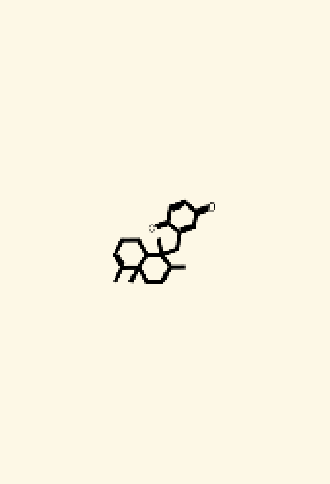 CC1=CCCC2C1(C)CCC(C)C2(C)CC1=CC(=O)C=CC1=O